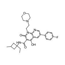 CCC1(NC(=O)c2c(O)c3cc(-c4ccc(F)cc4)cnc3n(CCN3CCOCC3)c2=O)CC(C)C1